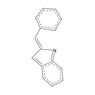 C(=C1C=c2ccccc2=N1)c1ccccc1